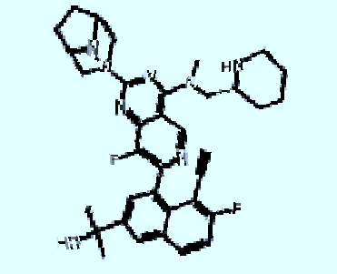 C#Cc1c(F)ccc2cc(C(C)(C)O)cc(-c3ncc4c(N(C)C[C@@H]5CCCCN5)nc(N5CC6CCC(C5)N6C)nc4c3F)c12